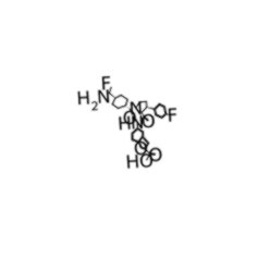 NC(CF)[C@H]1CC[C@H](C(=O)N2CC[C@@H](c3ccc(F)cc3)[C@H]2C(=O)Nc2ccc3oc(C(=O)O)cc3c2)CC1